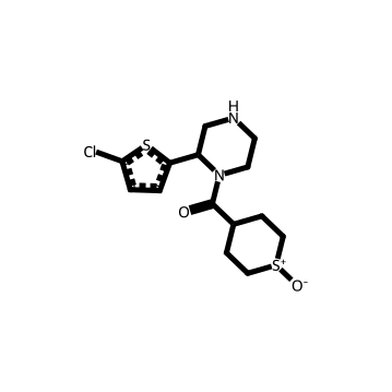 O=C(C1CC[S+]([O-])CC1)N1CCNCC1c1ccc(Cl)s1